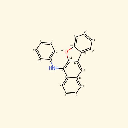 c1ccc(Nc2c3ccccc3cc3c2oc2ccccc23)cc1